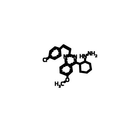 COc1ccc2nc(/C=C\c3ccc(Cl)cc3)nc(C3CCCCC3NN)c2c1